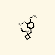 COc1ccc(CC2(NC=O)CCC2)cc1OC